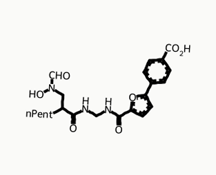 CCCCCC(CN(O)C=O)C(=O)NCNC(=O)c1ccc(-c2ccc(C(=O)O)cc2)o1